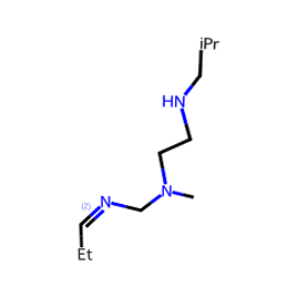 CC/C=N\CN(C)CCNCC(C)C